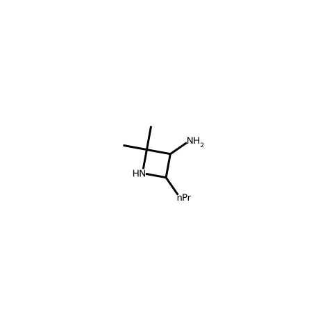 CCCC1NC(C)(C)C1N